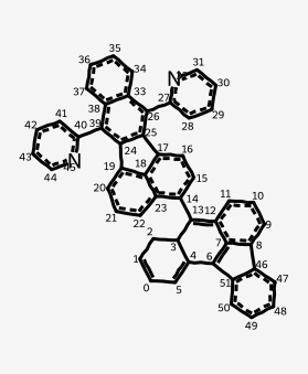 C1=CCC2C(=C1)C1=c3c(cccc3=C2c2ccc3c4c(cccc24)-c2c-3c(-c3ccccn3)c3ccccc3c2-c2ccccn2)-c2ccccc21